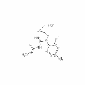 CNC(=O)NC(=N)N(CC1CC1)c1ccc(N)cc1Cl.Cl